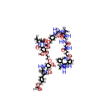 COc1cc2c(cc1OCCCOc1cc3c(cc1OC)C(=O)N1CC4(CC4)C[C@H]1C(O)N3C(=O)OCc1ccc(NC(=O)[C@H](C)NC(=O)[C@@H](NC(=O)CNC(=O)CNC(=O)CCC(=O)N3Cc4ccccc4C4=C(NNN4C(C)C)c4ccccc43)C(C)C)cc1)NC[C@@H]1CC(c3ccc(COC(C)=O)cc3)=CN1C2=O